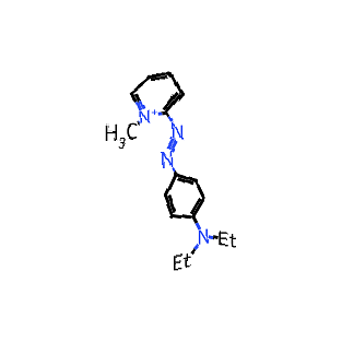 CCN(CC)c1ccc(N=Nc2cccc[n+]2C)cc1